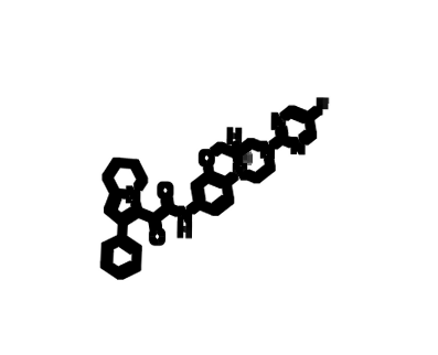 O=C(Nc1ccc2c(c1)OC[C@@H]1CN(c3ncc(F)cn3)CCN21)C(=O)c1c(-c2ccccc2)cc2n1CCCC2